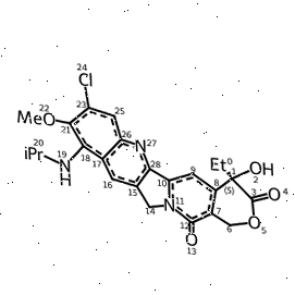 CC[C@@]1(O)C(=O)OCc2c1cc1n(c2=O)Cc2cc3c(NC(C)C)c(OC)c(Cl)cc3nc2-1